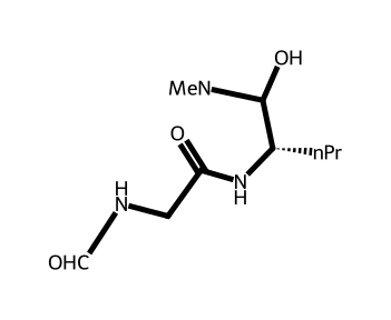 CCC[C@H](NC(=O)CNC=O)C(O)NC